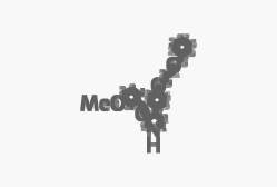 COc1cccc(COC2CNCCC2c2ccc(OCCCOCc3ccccc3)cc2)c1